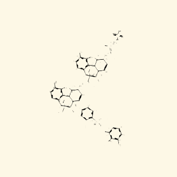 CN1CC[C@]23c4c5ccc(O)c4O[C@H]2[C@@H](O)C=C[C@H]3[C@H]1C5.CN1CC[C@]23c4c5ccc(O)c4O[C@H]2[C@@H](O)C=C[C@H]3[C@H]1C5.COC.C[N+](C)(C)c1ccccc1.Cc1cccc(N)c1C.N.O=S(=O)([O-])O